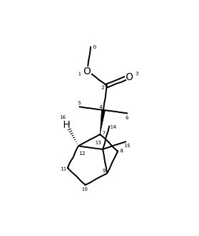 COC(=O)C(C)(C)[C@H]1CC2CC[C@@H]1C2(C)C